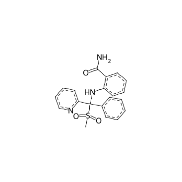 CS(=O)(=O)C(Nc1ccccc1C(N)=O)(c1ccccc1)c1ccccn1